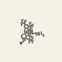 Cc1cc2c(cc1C(F)(F)F)N(CC1CC1)CCC[C@@H]2N(Cc1cc(C(F)(F)F)cc(C(F)(F)F)c1)c1nnn(CCN)n1